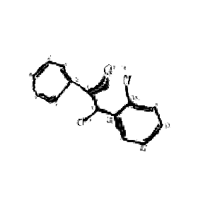 O=C(c1ccccc1)C(Cl)c1ccccc1Cl